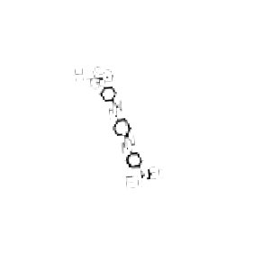 CCN(CC)c1ccc(N=Nc2ccc(N=Nc3ccc(S(C)(=O)=O)cc3)cc2)cc1